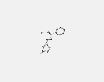 C[n+]1ccn(OOC(=O)c2ccccc2)c1.[Cl-]